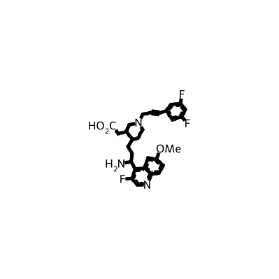 COc1ccc2ncc(F)c(C(N)CCC3CCN(CC#Cc4cc(F)cc(F)c4)CC3CC(=O)O)c2c1